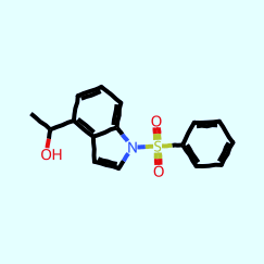 CC(O)c1cccc2c1ccn2S(=O)(=O)c1ccccc1